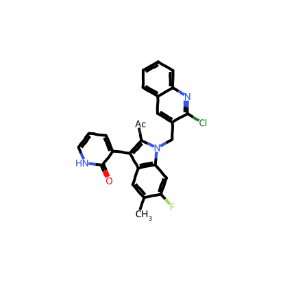 CC(=O)c1c(-c2ccc[nH]c2=O)c2cc(C)c(F)cc2n1Cc1cc2ccccc2nc1Cl